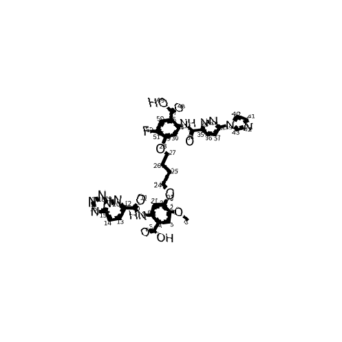 COc1cc(C(=O)O)c(NC(=O)c2ccc3nnnn3n2)cc1OCCCCOc1cc(NC(=O)c2ccc(-n3ccnc3)nn2)c(C(=O)O)cc1F